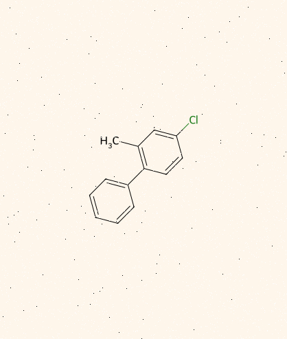 Cc1[c]c(Cl)ccc1-c1ccccc1